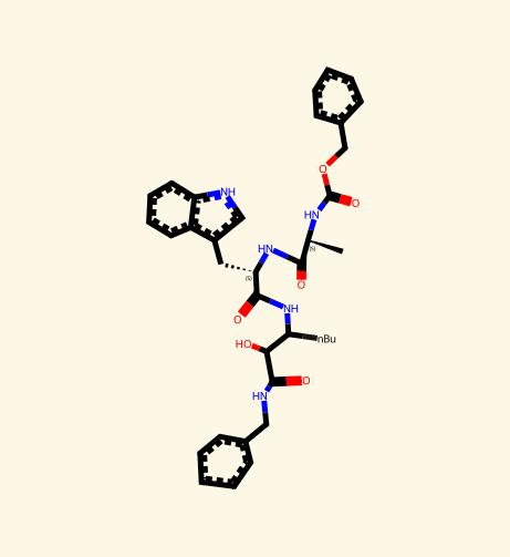 CCCCC(NC(=O)[C@H](Cc1c[nH]c2ccccc12)NC(=O)[C@H](C)NC(=O)OCc1ccccc1)C(O)C(=O)NCc1ccccc1